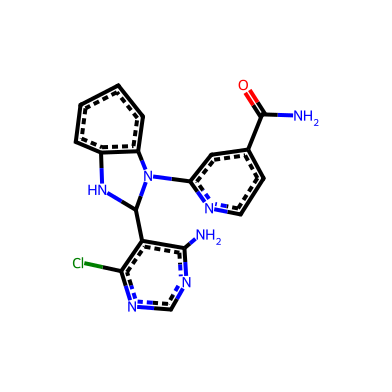 NC(=O)c1ccnc(N2c3ccccc3NC2c2c(N)ncnc2Cl)c1